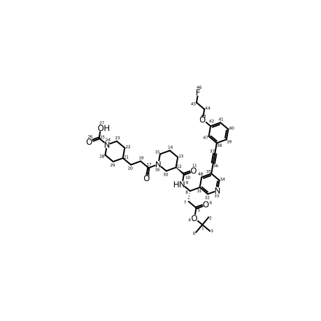 CC(C)(C)OC(=O)C[C@H](NC(=O)[C@@H]1CCCN(C(=O)CCC2CCN(C(=O)O)CC2)C1)c1cncc(C#Cc2cccc(OCCF)c2)c1